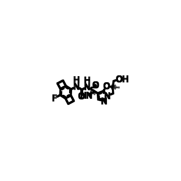 C[C@]1(CO)Cn2ncc([S@@](=N)(=O)NC(=O)Nc3c4c(c(F)c5c3CC5)CC4)c2O1